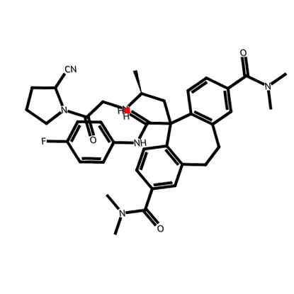 C[C@@H](CC1(C(=N)Nc2ccc(F)cc2)c2ccc(C(=O)N(C)C)cc2CCc2cc(C(=O)N(C)C)ccc21)NCC(=O)N1CCCC1C#N